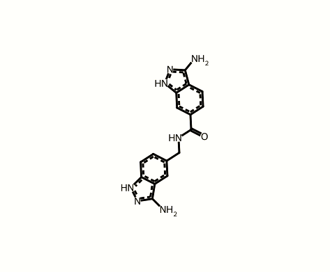 Nc1n[nH]c2cc(C(=O)NCc3ccc4[nH]nc(N)c4c3)ccc12